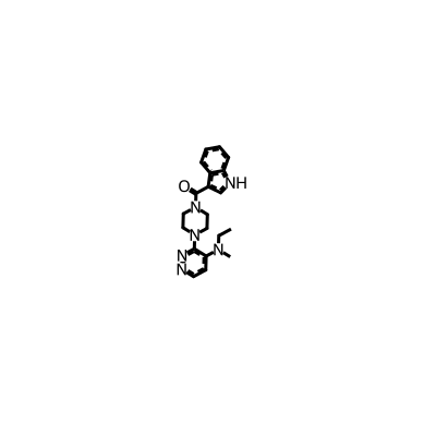 CCN(C)c1ccnnc1N1CCN(C(=O)c2c[nH]c3ccccc23)CC1